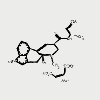 C[C@@H](CO)NC(=O)[C@@H]1C=C2c3cccc4[nH]cc(c34)C[C@H]2N(C)C1.O=C([O-])/C=C\C(=O)O.[Na+]